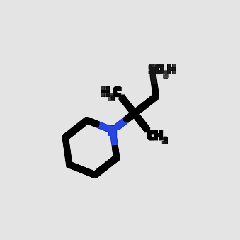 CC(C)(CS(=O)(=O)O)N1CCCCC1